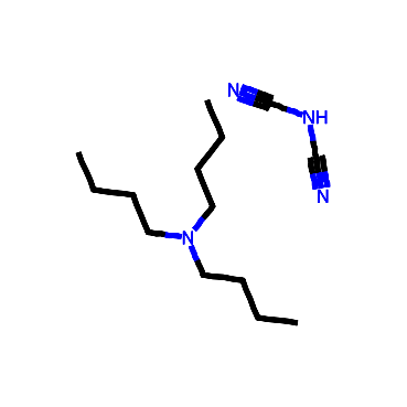 CCCCN(CCCC)CCCC.N#CNC#N